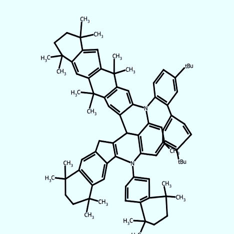 Cc1cc2c3c(c1)N(c1ccc(C(C)(C)C)cc1-c1ccc(C(C)(C)C)cc1)c1cc4c(cc1C3C1=C(c3cc5c(cc3C1)C(C)(C)CCC5(C)C)N2c1ccc2c(c1)C(C)(C)CCC2(C)C)C(C)(C)c1cc2c(cc1C4(C)C)C(C)(C)CCC2(C)C